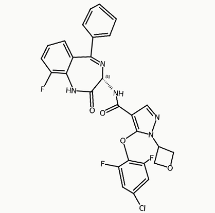 O=C(N[C@H]1N=C(c2ccccc2)c2cccc(F)c2NC1=O)c1cnn(C2COC2)c1Oc1c(F)cc(Cl)cc1F